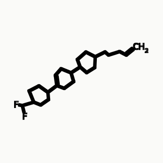 C=CCCCC1CCC(C2CC=C(C3CCC(C(F)F)CC3)CC2)CC1